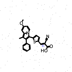 COc1ccn2c(-c3ccc(/C=C(\C#N)C(=O)O)s3)c(-c3ccccc3)c(C)c2c1